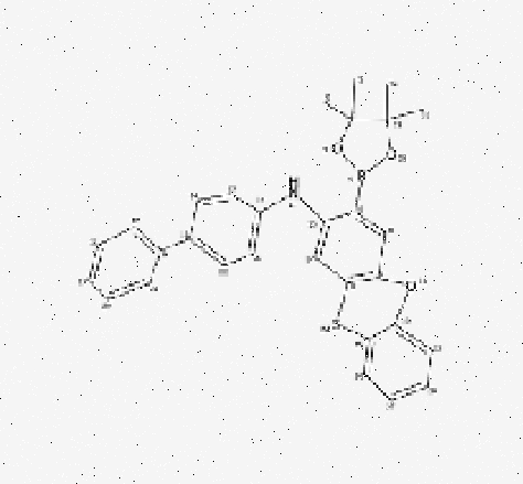 CC1(C)OB(c2cc3c(cc2Nc2ccc(-c4ccccc4)cc2)Sc2ccccc2O3)OC1(C)C